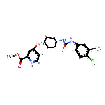 CC(C)(C)OC(=O)c1cc(O[C@H]2CC[C@H](NC(=O)Nc3ccc(Cl)c(C(F)(F)F)c3)CC2)ccn1